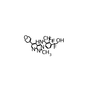 Cc1nc(NC(C)c2cccc(C(F)(F)CO)c2F)c2cc(C3=CCOCC3)cnc2n1